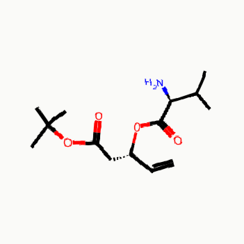 C=C[C@H](CC(=O)OC(C)(C)C)OC(=O)[C@@H](N)C(C)C